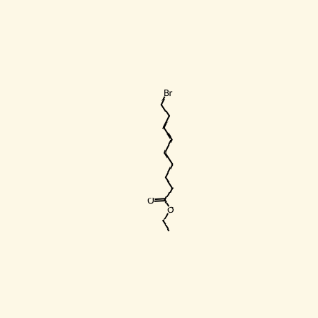 CCOC(=O)CCCCCCCCBr